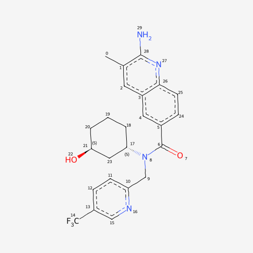 Cc1cc2cc(C(=O)N(Cc3ccc(C(F)(F)F)cn3)[C@H]3CCC[C@H](O)C3)ccc2nc1N